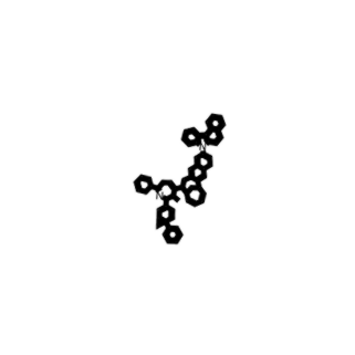 CC1C(C2CC3=CC4=CC(n5c6ccccc6c6c7ccccc7ccc65)=CCC4C=C3C3C=CC=CC2C3)=CCC(C2C=CC=CC2)=NC1C1=CC2CC2(c2ccccc2)C=C1